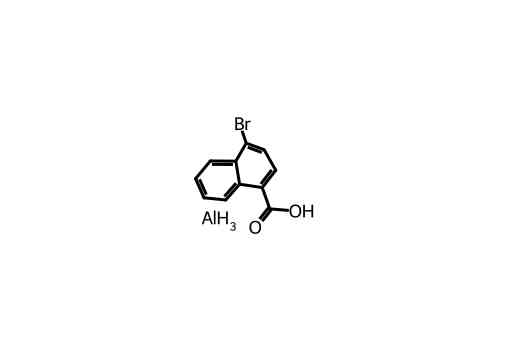 O=C(O)c1ccc(Br)c2ccccc12.[AlH3]